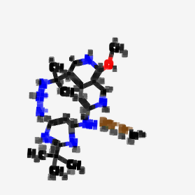 COc1ncc(C(C)(C)N=[N+]=[N-])c2cc(Nc3ccnc(C(C)(C)C)n3)ncc12.[Br-].[Br-].[Br-].[In+3]